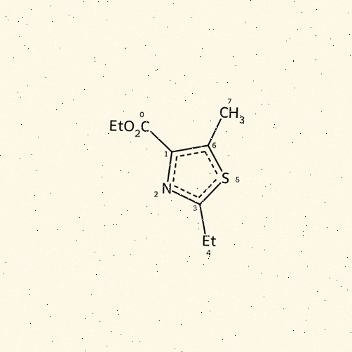 CCOC(=O)c1nc(CC)sc1C